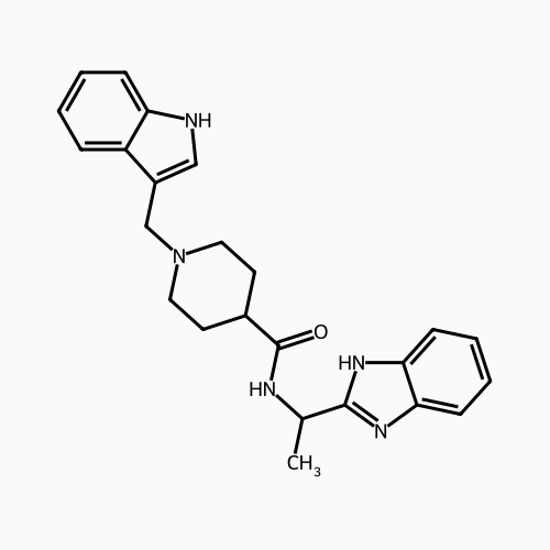 CC(NC(=O)C1CCN(Cc2c[nH]c3ccccc23)CC1)c1nc2ccccc2[nH]1